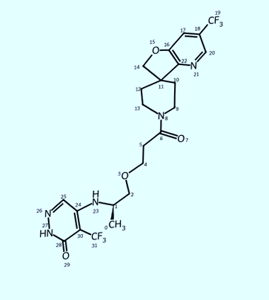 C[C@H](COCCC(=O)N1CCC2(CC1)COc1cc(C(F)(F)F)cnc12)Nc1cn[nH]c(=O)c1C(F)(F)F